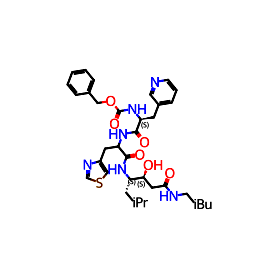 CCC(C)CNC(=O)C[C@H](O)[C@H](CC(C)C)NC(=O)C(Cc1cscn1)NC(=O)[C@H](Cc1cccnc1)NC(=O)OCc1ccccc1